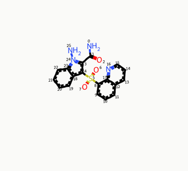 NC(=O)c1c(S(=O)(=O)c2cccc3cccnc23)c2ccccc2n1N